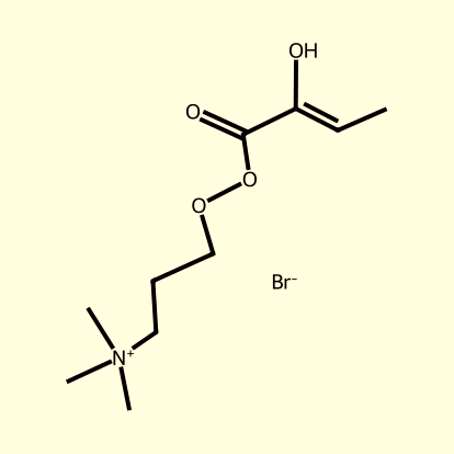 CC=C(O)C(=O)OOCCC[N+](C)(C)C.[Br-]